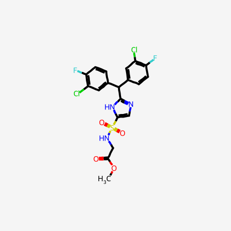 COC(=O)CNS(=O)(=O)c1cnc(C(c2ccc(F)c(Cl)c2)c2ccc(F)c(Cl)c2)[nH]1